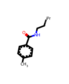 Cc1ccc(C(=O)NC[CH]C(C)C)cc1